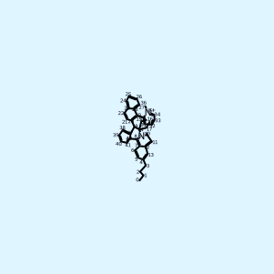 CCCCc1ccc2c3[n+](ccc2c1)C(CC)(CC)C(c1ccc2ccccc2c1-c1cccc[n+]1C)c1ccccc1-3